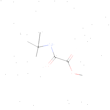 COC(=O)C(=O)NC(C)(C)C